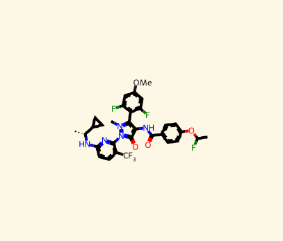 COc1cc(F)c(-c2c(NC(=O)c3ccc(OC(C)F)cc3)c(=O)n(-c3nc(N[C@H](C)C4CC4)ccc3C(F)(F)F)n2C)c(F)c1